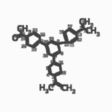 C=C(C)c1ccc(-c2cc(-c3ccc(C(=C)C)cc3)cc(-c3ccc(C(C)=O)cc3)c2)cc1